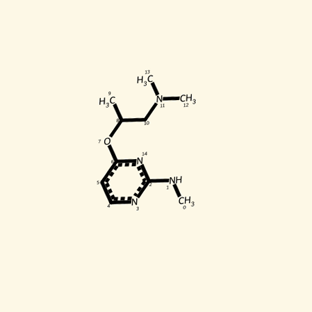 CNc1nccc(OC(C)CN(C)C)n1